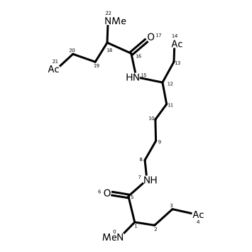 CNC(CCC(C)=O)C(=O)NCCCCC(CC(C)=O)NC(=O)C(CCC(C)=O)NC